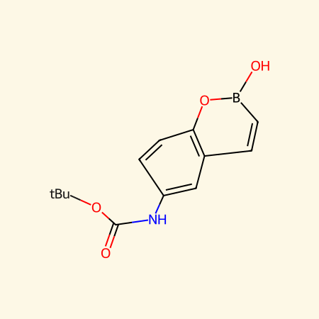 CC(C)(C)OC(=O)Nc1ccc2c(c1)C=CB(O)O2